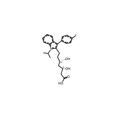 CC(C)n1c(CC[C@H](O)C[C@H](O)CC(=O)O)c(-c2ccc(F)cc2)c2ccccc21